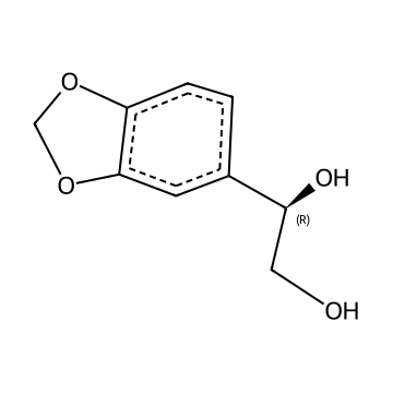 OC[C@H](O)c1ccc2c(c1)OCO2